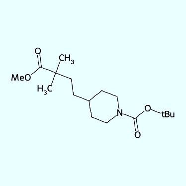 COC(=O)C(C)(C)CCC1CCN(C(=O)OC(C)(C)C)CC1